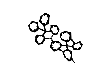 Cc1ccc2c(c1)C1(c3ccccc3-c3ccccc31)c1cc(N3c4ccccc4C(c4ccccc4)(c4ccccc4)c4ccccc43)ccc1-2